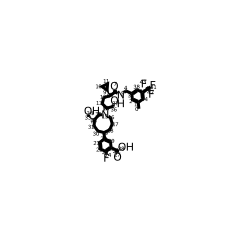 Cc1cc(CNC(=O)[C@@]2(C3CC3)CC[C@@H](N3CCCC(c4ccc(F)c(C(=O)O)c4)CC[C@H](CO)C3)CO2)cc(C(F)(F)F)c1